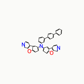 c1ccc(-c2ccc(-c3cccc(N(c4ccc5oc6cnccc6c5c4)c4ccc5oc6cnccc6c5c4)c3)cc2)cc1